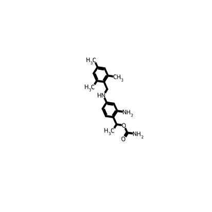 Cc1cc(C)c(CNc2ccc(C(C)OC(N)=O)c(N)c2)c(C)c1